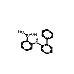 OB(O)c1ccccc1Nc1ccccc1-c1ccccc1